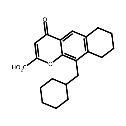 O=C(O)c1cc(=O)c2cc3c(c(CC4CCCCC4)c2o1)CCCC3